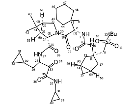 CC1([C@H](NC(=O)N[C@]2(CS(=O)(=O)C(C)(C)C)C[C@H]3C[C@H]3C2)C(=O)N2C[C@H]3[C@@H]([C@H]2C(=O)NC(CC2CC2)C(=O)C(=O)NC2CC2)C3(C)C)CCCCC1